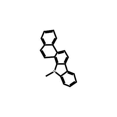 Cn1c2ccccc2c2ccc3c4ccccc4ccc3c21